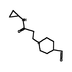 O=CC1CCN(CCC(=O)NC2CC2)CC1